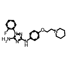 Nc1nc(Nc2ccc(OCCN3CCCCC3)cc2)nn1-c1ccccc1F